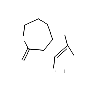 CC(C)=CC(=O)O.O=C1CCCCCO1